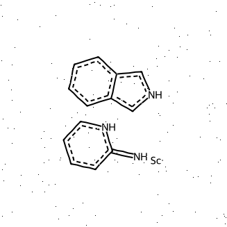 N=c1cccc[nH]1.[Sc].c1ccc2c[nH]cc2c1